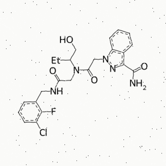 CCC(CO)N(CC(=O)NCc1cccc(Cl)c1F)C(=O)Cn1nc(C(N)=O)c2ccccc21